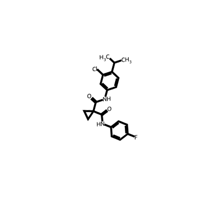 CC(C)c1ccc(NC(=O)C2(C(=O)Nc3ccc(F)cc3)CC2)cc1Cl